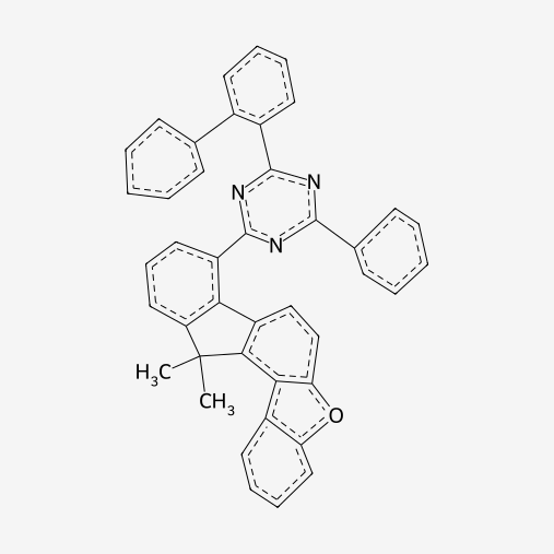 CC1(C)c2cccc(-c3nc(-c4ccccc4)nc(-c4ccccc4-c4ccccc4)n3)c2-c2ccc3oc4ccccc4c3c21